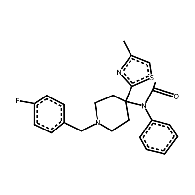 CC(=O)N(c1ccccc1)C1(c2nc(C)cs2)CCN(Cc2ccc(F)cc2)CC1